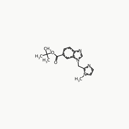 Cn1ccnc1Cn1cnc2ccc(C(=O)OC(C)(C)C)cc21